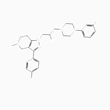 CC(=O)N1CCc2c(c(-c3ccc(Cl)cc3)nn2CC(O)CN2CCN(c3cccc(Cl)c3)CC2)C1